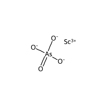 O=[As]([O-])([O-])[O-].[Sc+3]